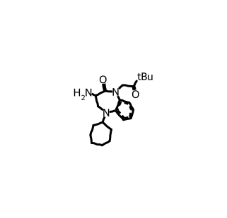 CC(C)(C)C(=O)CN1C(=O)C(N)CN(C2CCCCCC2)c2ccccc21